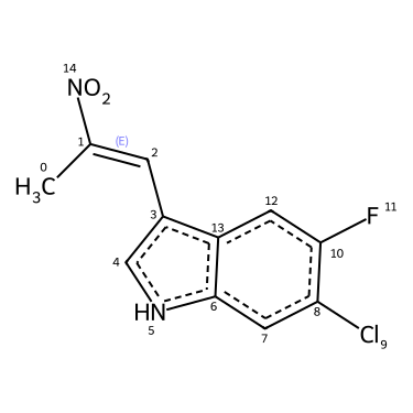 C/C(=C\c1c[nH]c2cc(Cl)c(F)cc12)[N+](=O)[O-]